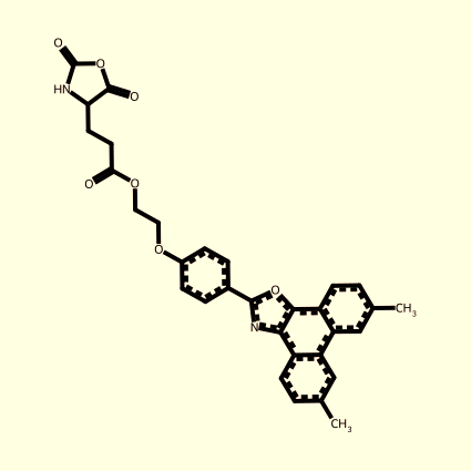 Cc1ccc2c(c1)c1cc(C)ccc1c1oc(-c3ccc(OCCOC(=O)CCC4NC(=O)OC4=O)cc3)nc21